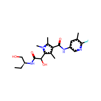 CC[C@@H](CO)NC(=O)C(O)c1c(C)c(C(=O)Nc2cnc(F)c(C)c2)c(C)n1C